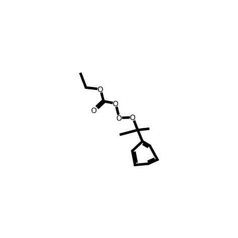 CCOC(=O)OOOC(C)(C)c1ccccc1